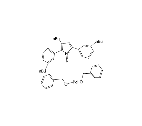 CCCCC1=C(c2cccc(CCCC)c2)[N+](=[N-])C(c2cccc(CCCC)c2)=C1.c1ccc(C[O][Pd][O]Cc2ccccc2)cc1